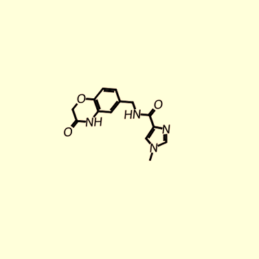 Cn1cnc(C(=O)NCc2ccc3c(c2)NC(=O)CO3)c1